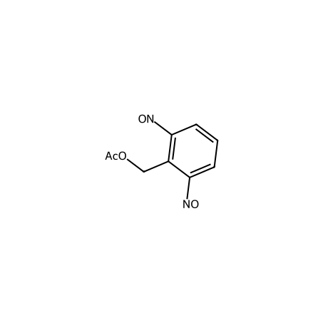 CC(=O)OCc1c(N=O)cccc1N=O